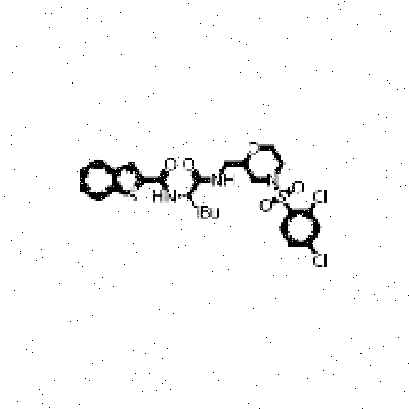 CC[C@H](C)[C@H](NC(=O)c1cc2ccccc2s1)C(=O)NCC1CN(S(=O)(=O)c2ccc(Cl)cc2Cl)CCO1